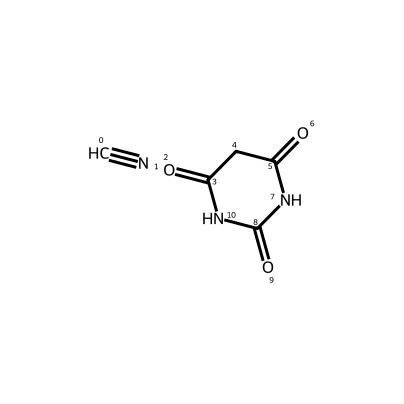 C#N.O=C1CC(=O)NC(=O)N1